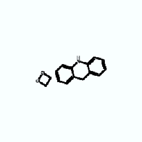 C1COO1.c1ccc2c(c1)Cc1ccccc1N2